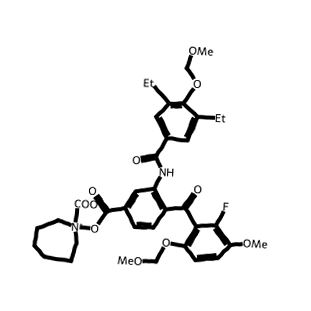 CCc1cc(C(=O)Nc2cc(C(=O)O[N+]3(C(=O)[O-])CCCCCC3)ccc2C(=O)c2c(OCOC)ccc(OC)c2F)cc(CC)c1OCOC